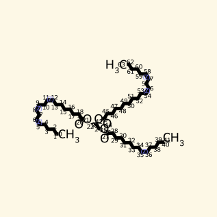 CCCCC/C=C\C/C=C\C/C=C\CCCCCCC(=O)OC[C@@H](COC(=O)CCCCCCC/C=C\CCCCC)OC(=O)CCCCCCCCC/C=C\C/C=C\CCCCC